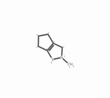 CN1CC2=C(CCC2)S1